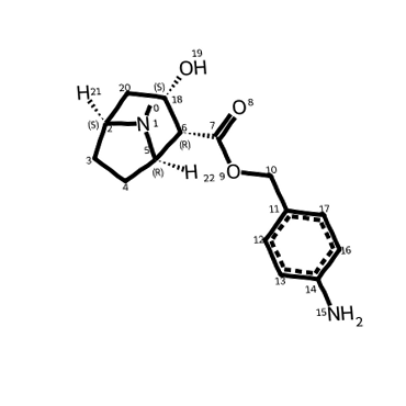 CN1[C@H]2CC[C@@H]1[C@@H](C(=O)OCc1ccc(N)cc1)[C@@H](O)C2